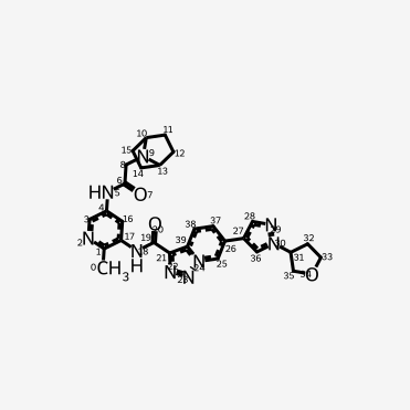 Cc1ncc(NC(=O)CN2C3CCC2CC3)cc1NC(=O)c1nnn2cc(-c3cnn(C4CCOC4)c3)ccc12